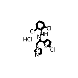 Cl.Clc1ccc(C(Cn2ccnc2)=NNc2c(Cl)cccc2Cl)s1